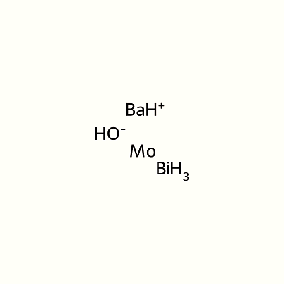 [BaH+].[BiH3].[Mo].[OH-]